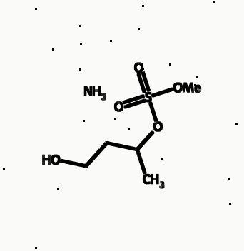 COS(=O)(=O)OC(C)CCO.N